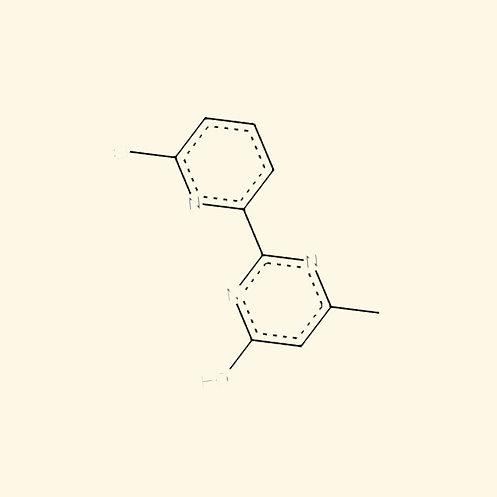 Cc1cc(O)nc(-c2cccc(Cl)n2)n1